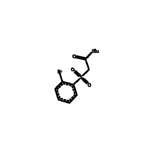 CC(C)(C)C(=O)CS(=O)(=O)c1ccccc1Br